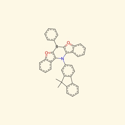 CC1(C)c2ccccc2-c2ccc(N3c4c(oc5ccccc45)B(c4ccccc4)c4oc5ccccc5c43)cc21